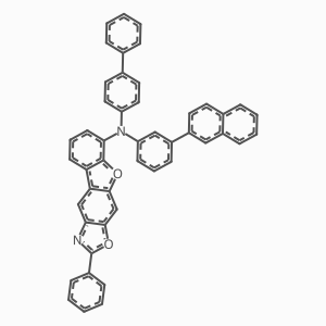 c1ccc(-c2ccc(N(c3cccc(-c4ccc5ccccc5c4)c3)c3cccc4c3oc3cc5oc(-c6ccccc6)nc5cc34)cc2)cc1